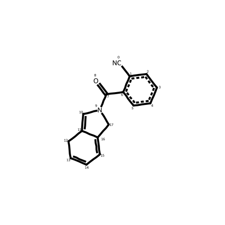 N#Cc1ccccc1C(=O)N1C=C2CC=CC=C2C1